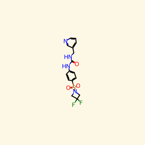 O=C(NCc1cccnc1)Nc1ccc(S(=O)(=O)N2CC(F)(F)C2)cc1